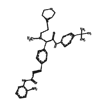 CN(CCN1CCOCC1)C(C(=O)Nc1ccc(C(C)(C)C)cc1)c1ccc(C=CC(=O)Nc2ccccc2N)cc1